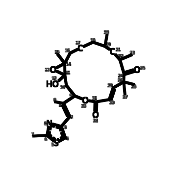 CC(=Cc1csc(C)n1)C1CC2(O)OC2(C)CCCC(C)CC(C)C(=O)C(C)(C)/C=C/C(=O)O1